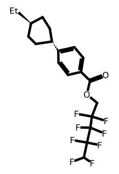 CC[C@H]1CC[C@H](c2ccc(C(=O)OCC(F)(F)C(F)(F)C(F)(F)C(F)F)cc2)CC1